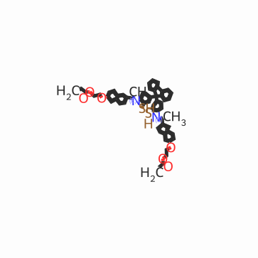 C=CC(=O)OCCOc1ccc2cc(/C(C)=N/c3ccc(C4(c5ccc(/N=C(\C)c6ccc7cc(OCCOC(=O)C=C)ccc7c6)c(S)c5)c5ccccc5-c5ccccc54)cc3S)ccc2c1